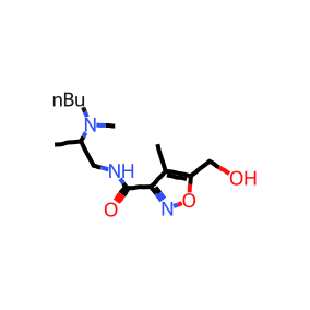 CCCCN(C)C(C)CNC(=O)c1noc(CO)c1C